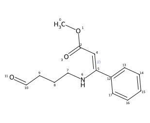 COC(=O)/C=C(\NCCCC=O)c1ccccc1